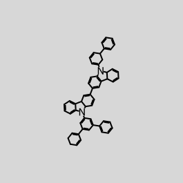 C1=CC(c2ccccc2)CC(N2c3ccc(C4=CC5c6ccccc6N(c6cc(C7=CCCC=C7)cc(-c7ccccc7)c6)C5C=C4)cc3C3C=CC=CC32)=C1